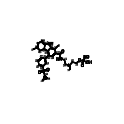 CC1=CN=C2Nc3c(C)c(C(=O)NCCN(C)CCOP(=O)(O)N=O)cc(-c4cccc(S(=O)(=O)C5CC5)c4)c3C2C1